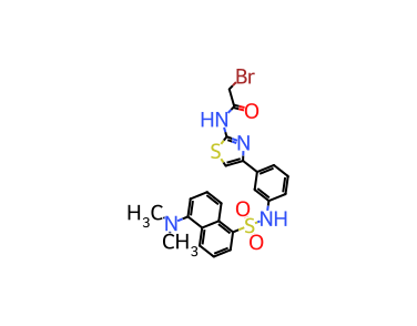 CN(C)c1cccc2c(S(=O)(=O)Nc3cccc(-c4csc(NC(=O)CBr)n4)c3)cccc12